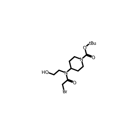 CC(C)(C)OC(=O)N1CCC(N(CCO)C(=O)CBr)CC1